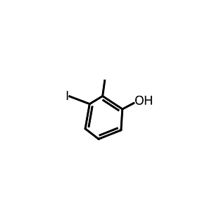 Cc1c(O)cccc1I